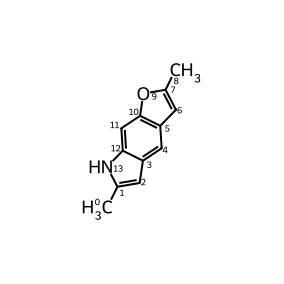 Cc1cc2cc3cc(C)oc3cc2[nH]1